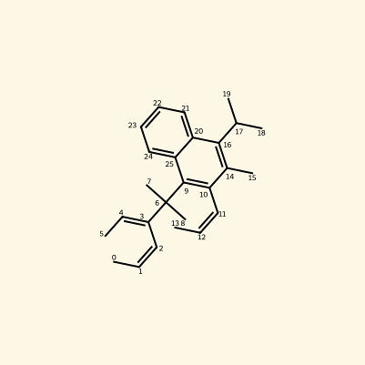 C/C=C\C(=C/C)C(C)(C)c1c(/C=C\C)c(C)c(C(C)C)c2ccccc12